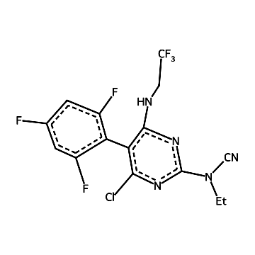 CCN(C#N)c1nc(Cl)c(-c2c(F)cc(F)cc2F)c(NCC(F)(F)F)n1